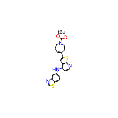 CC(C)(C)OC(=O)N1CCC=C(c2cc3c(Nc4ccc5scnc5c4)ccnc3s2)CC1